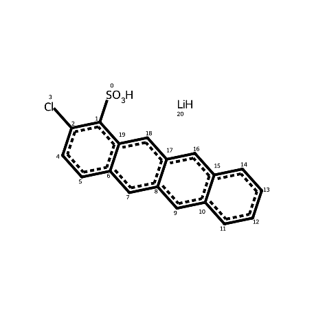 O=S(=O)(O)c1c(Cl)ccc2cc3cc4ccccc4cc3cc12.[LiH]